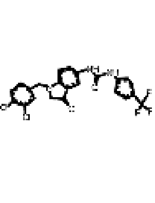 O=C(Nc1ccc(C(F)(F)F)cc1)Nc1ccc2c(c1)C(=O)CN2Cc1ccc(Cl)c(Cl)c1